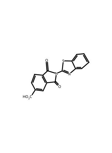 O=C(O)c1ccc2c(c1)C(=O)N(c1nc3ccccc3s1)C2=O